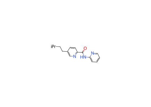 CC(C)CCc1ccc(C(=O)Nc2ccccn2)nc1